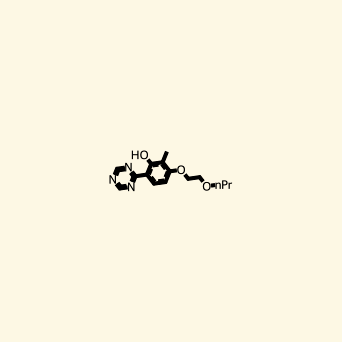 CCCOCCOc1ccc(-c2ncncn2)c(O)c1C